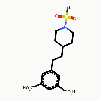 CCS(=O)(=O)N1CCC(CCc2cc(C(=O)O)cc(C(=O)O)c2)CC1